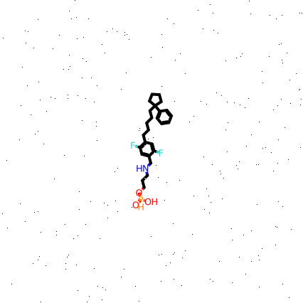 O=[PH](O)OCCCNCc1cc(F)c(CCCCCC2(c3ccccc3)CCCC2)cc1F